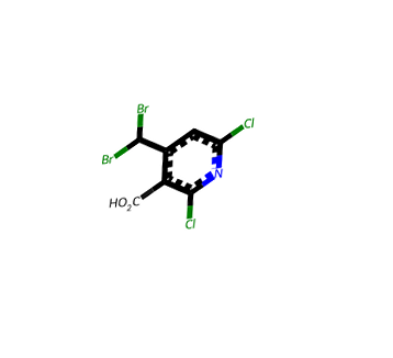 O=C(O)c1c(C(Br)Br)cc(Cl)nc1Cl